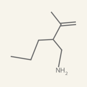 C=C(C)C(CN)CCC